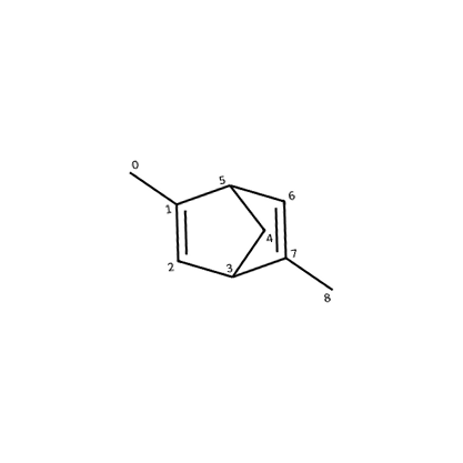 CC1=CC2CC1C=C2C